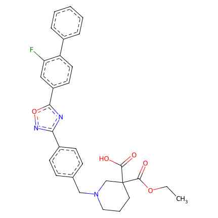 CCOC(=O)C1(C(=O)O)CCCN(Cc2ccc(-c3noc(-c4ccc(-c5ccccc5)c(F)c4)n3)cc2)C1